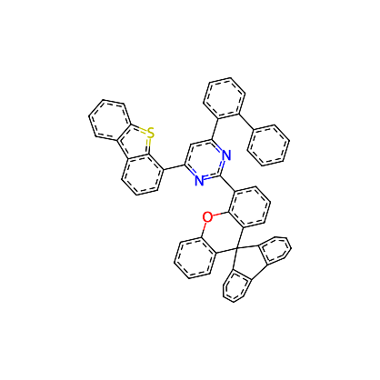 c1ccc(-c2ccccc2-c2cc(-c3cccc4c3sc3ccccc34)nc(-c3cccc4c3Oc3ccccc3C43c4ccccc4-c4ccccc43)n2)cc1